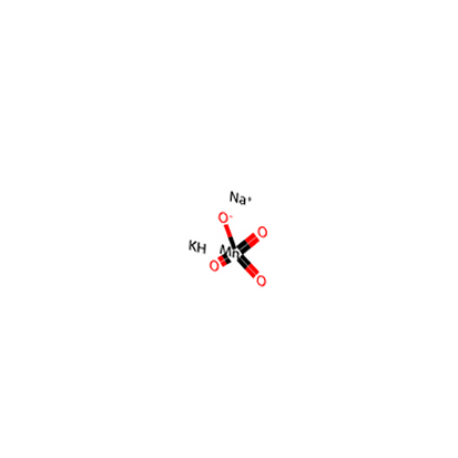 [KH].[Na+].[O]=[Mn](=[O])(=[O])[O-]